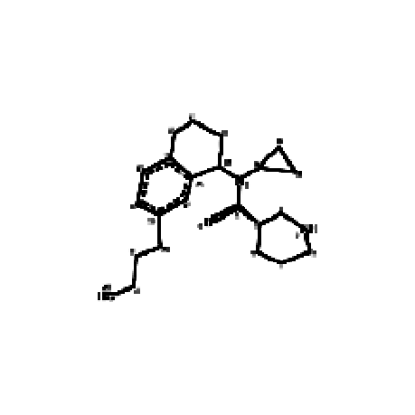 O=C([C@@H]1CCCNC1)N(C1CC1)C1CCCc2ccc(CCCO)cc21